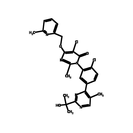 Cc1cccc(COc2nc(C)n(-c3cc(-c4nc(C(C)(C)O)ncc4C)ccc3Cl)c(=O)c2Cl)n1